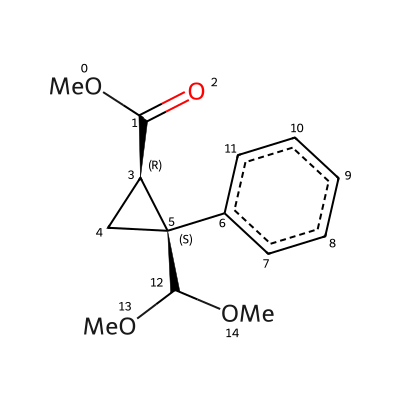 COC(=O)[C@@H]1C[C@]1(c1ccccc1)C(OC)OC